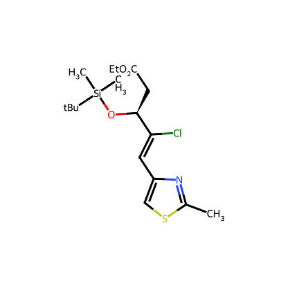 CCOC(=O)C[C@H](O[Si](C)(C)C(C)(C)C)C(Cl)=Cc1csc(C)n1